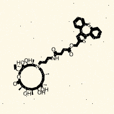 CC[C@H]1OC(=O)[C@H](C)[C@@H](O)[C@H](C)[C@@H](O)[C@](C)(O)C[C@@H](C)CN(CCCNC(=O)CCC(=O)OCc2cc3c(s2)-c2ccccc2Sc2ccccc2-3)[C@H](C)[C@@H](O)[C@]1(C)O